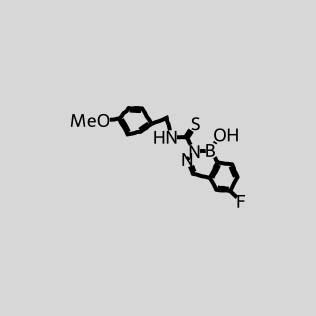 COc1ccc(CNC(=S)N2N=Cc3cc(F)ccc3B2O)cc1